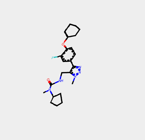 CN(C(=O)NCc1c(-c2ccc(OC3CCCCC3)c(F)c2)nnn1C)C1CCCC1